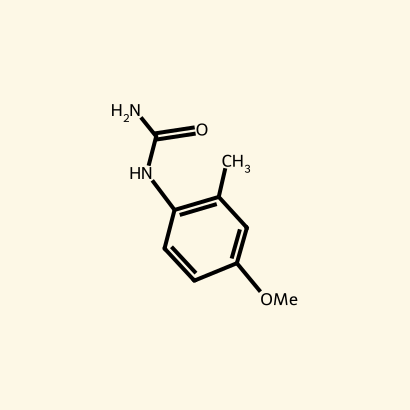 COc1ccc(NC(N)=O)c(C)c1